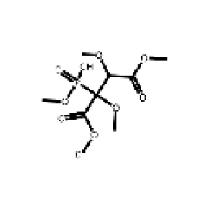 COC(=O)C(OC)C(OC)(C(=O)OCl)P(=O)(O)OC